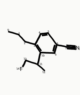 CCCc1ccc(C#N)cc1[C](C)CF